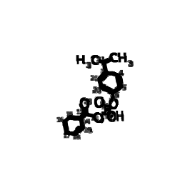 CC(C)c1ccc(OP(=O)(O)OC(=O)c2ccccc2)cc1